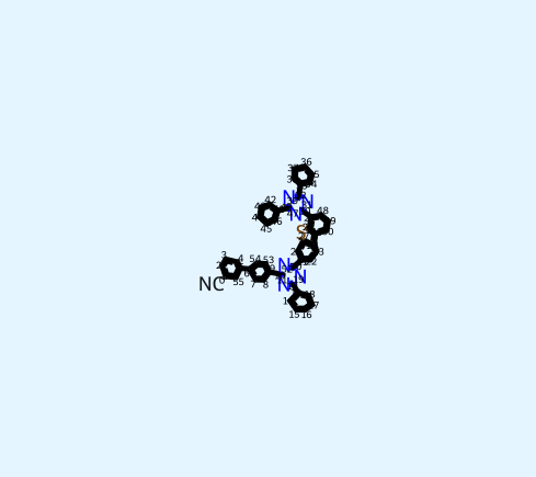 N#Cc1cccc(-c2ccc(-c3nc(-c4ccccc4)nc(-c4ccc5c(c4)sc4c(-c6nc(-c7ccccc7)nc(-c7ccccc7)n6)cccc45)n3)cc2)c1